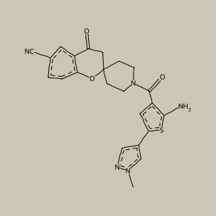 Cn1cc(-c2cc(C(=O)N3CCC4(CC3)CC(=O)c3cc(C#N)ccc3O4)c(N)s2)cn1